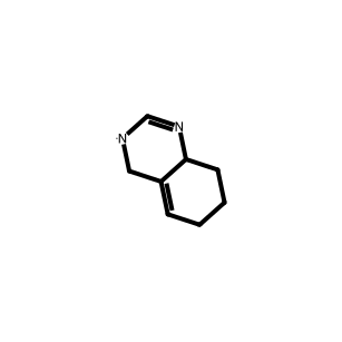 C1=NC2CCCC=C2C[N]1